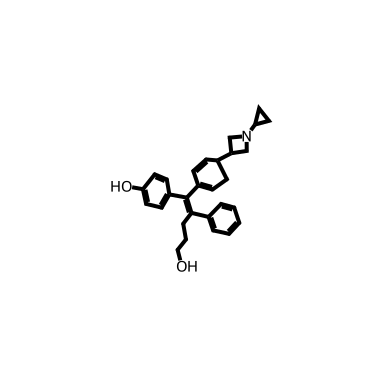 OCCC/C(=C(/C1=CCC(C2CN(C3CC3)C2)C=C1)c1ccc(O)cc1)c1ccccc1